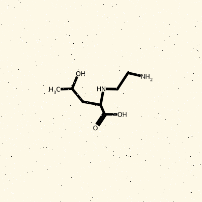 CC(O)CC(NCCN)C(=O)O